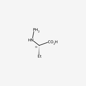 CC[C@H](NP)C(=O)O